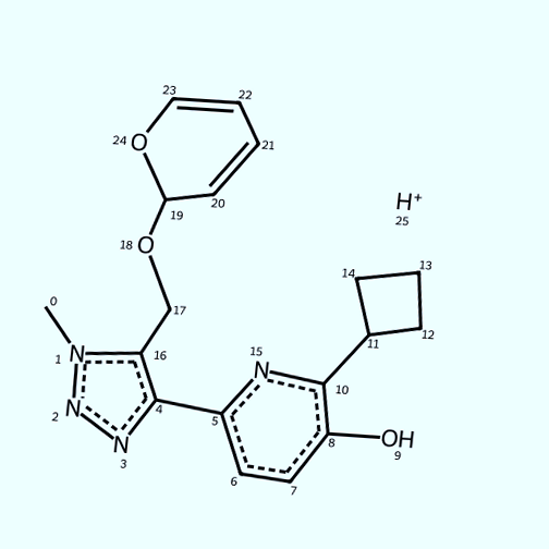 Cn1nnc(-c2ccc(O)c(C3CCC3)n2)c1COC1C=CC=CO1.[H+]